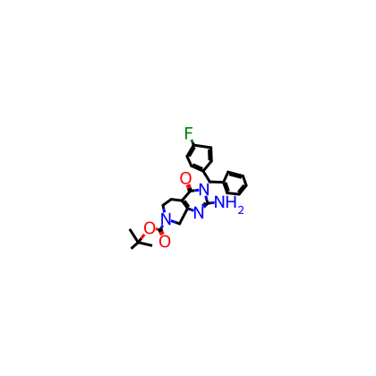 CC(C)(C)OC(=O)N1CCc2c(nc(N)n(C(c3ccccc3)c3ccc(F)cc3)c2=O)C1